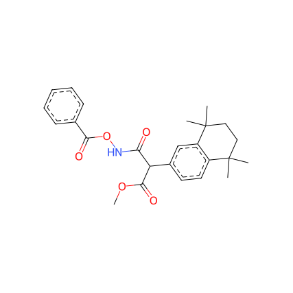 COC(=O)C(C(=O)NOC(=O)c1ccccc1)c1ccc2c(c1)C(C)(C)CCC2(C)C